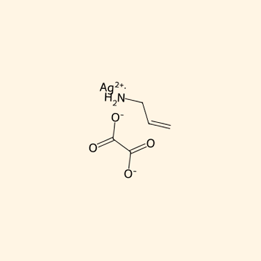 C=CCN.O=C([O-])C(=O)[O-].[Ag+2]